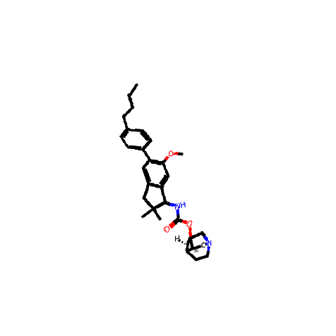 CCCCc1ccc(-c2cc3c(cc2OC)C(NC(=O)O[C@H]2CN4CCC2CC4)C(C)(C)C3)cc1